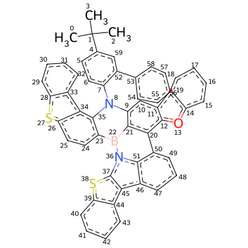 CC(C)(C)c1ccc(N2c3cc4c(oc5ccccc54)c4c3B(c3ccc5sc6ccccc6c5c32)n2c3sc5ccccc5c3c3cccc-4c32)c(-c2ccccc2)c1